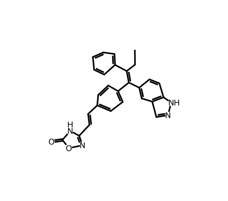 CC/C(=C(/c1ccc(/C=C/c2noc(=O)[nH]2)cc1)c1ccc2[nH]ncc2c1)c1ccccc1